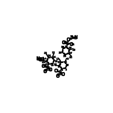 Cc1ccc(S(=O)(=O)[O-])c(C)c1C.Cc1ccc(S(=O)(=O)[O-])c(C)c1C.Cc1cccc(S(=O)(=O)OC#N)c1C.[Na+].[Na+]